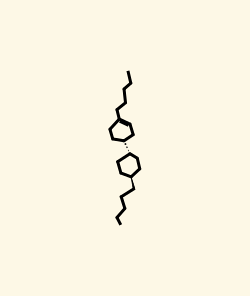 CCCCCC1=CCC([C@H]2CC[C@H](CCCCC)CC2)CC1